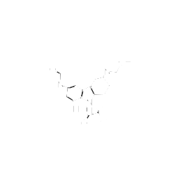 CCNC1CCc2[nH]c3ccc(NC=O)cc3c2C1.O=C(O)C(=O)O